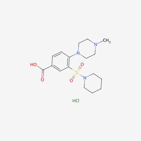 CN1CCN(c2ccc(C(=O)O)cc2S(=O)(=O)N2CCCCC2)CC1.Cl